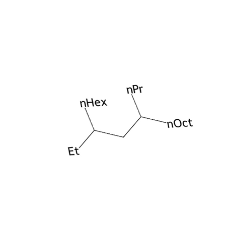 CCCCCCCCC(CCC)CC(CC)CCCCCC